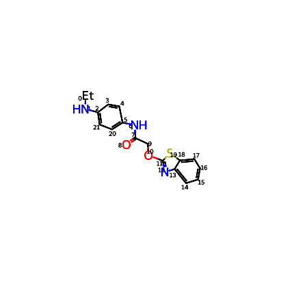 CCNc1ccc(NC(=O)COc2nc3ccccc3s2)cc1